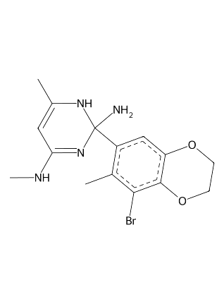 CNC1=NC(N)(c2cc3c(c(Br)c2C)OCCO3)NC(C)=C1